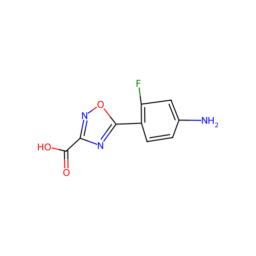 Nc1ccc(-c2nc(C(=O)O)no2)c(F)c1